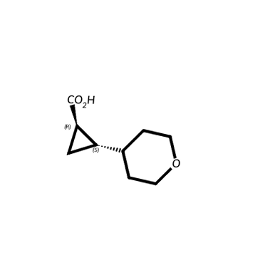 O=C(O)[C@@H]1C[C@H]1C1CCOCC1